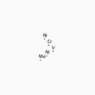 [Cr].[Mo].[Ni].[Ni].[V]